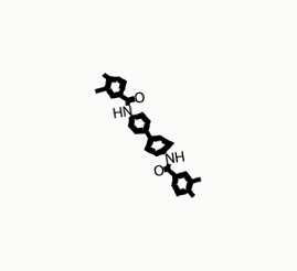 Cc1ccc(C(=O)Nc2ccc(-c3ccc(NC(=O)c4ccc(C)c(C)c4)cc3)cc2)cc1C